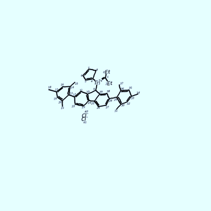 CC[C](CC)=[Ti+2]([C]1=CC=CC1)[CH]1c2cc(-c3c(C)cc(C)cc3C)ccc2-c2ccc(-c3c(C)cc(C)cc3C)cc21.[Cl-].[Cl-]